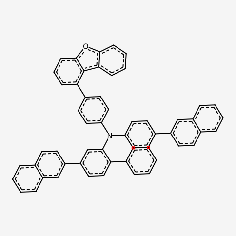 c1ccc(-c2ccc(-c3ccc4ccccc4c3)cc2N(c2ccc(-c3ccc4ccccc4c3)cc2)c2ccc(-c3cccc4oc5ccccc5c34)cc2)cc1